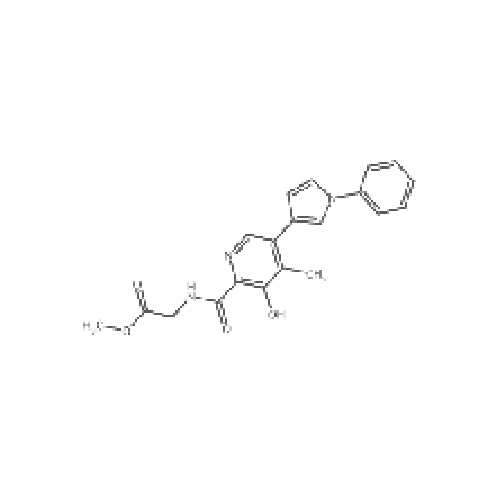 COC(=O)CNC(=O)c1ncc(-c2ccn(-c3ccccc3)c2)c(C)c1O